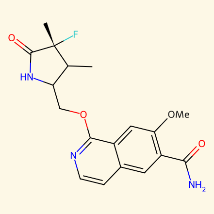 COc1cc2c(OCC3NC(=O)[C@](C)(F)C3C)nccc2cc1C(N)=O